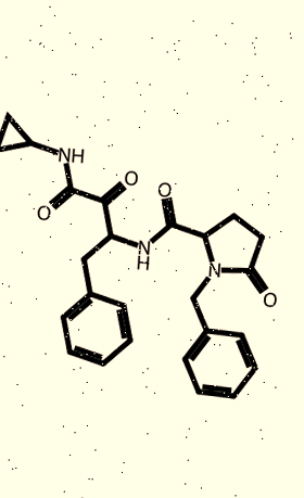 O=C(NC1CC1)C(=O)C(Cc1ccccc1)NC(=O)C1CCC(=O)N1Cc1ccccc1